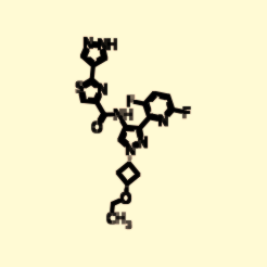 CCO[C@H]1C[C@H](n2cc(NC(=O)c3csc(-c4cn[nH]c4)n3)c(-c3nc(F)ccc3F)n2)C1